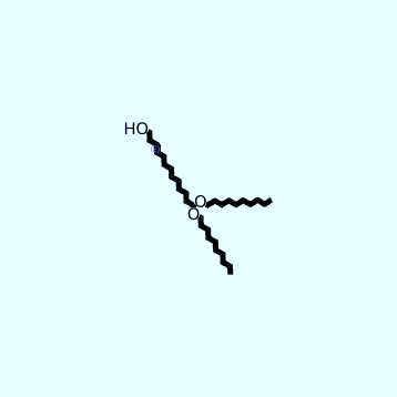 CCCCCCCCCCOC(CCCCCCCC/C=C/CCO)OCCCCCCCCCC